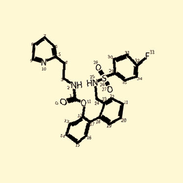 O=C(NCCc1ccccn1)Oc1ccccc1-c1ccccc1CNS(=O)(=O)c1ccc(F)cc1